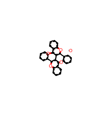 O=c1c(-c2c(-c3ccccc3)oc3ccccc3c2=O)c(-c2ccccc2)oc2ccccc12.[O]